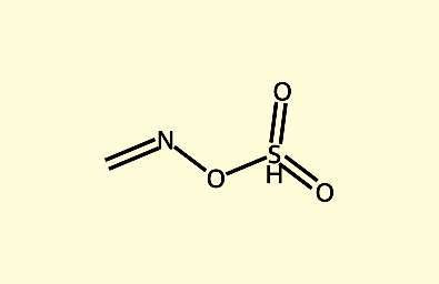 C=NO[SH](=O)=O